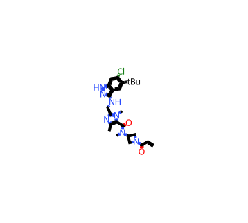 C=CC(=O)N1CC(N(C)C(=O)c2c(C)nc(CNc3n[nH]c4cc(Cl)c(C(C)(C)C)cc34)n2C)C1